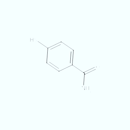 NC(=O)c1ccc(S)cc1